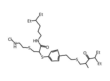 CCC(CC)CCCNC(=O)C(CSCCNCl)Sc1ccc(CCSCC(C)C(=O)C(CC)CC)cc1